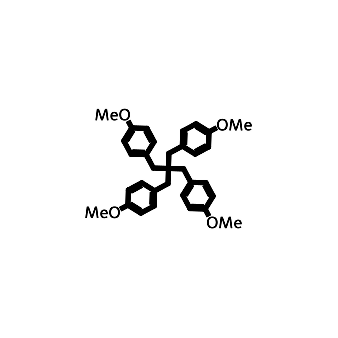 COc1ccc(CC(Cc2ccc(OC)cc2)(Cc2ccc(OC)cc2)Cc2ccc(OC)cc2)cc1